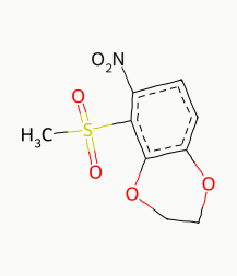 CS(=O)(=O)c1c([N+](=O)[O-])ccc2c1OCCO2